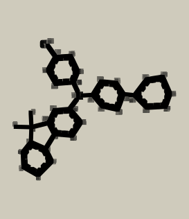 CC1(C)c2ccccc2-c2ccc(N(c3ccc(Cl)cc3)c3ccc(-c4ccccc4)cc3)cc21